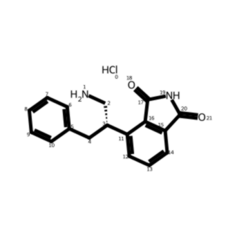 Cl.NC[C@@H](Cc1ccccc1)c1cccc2c1C(=O)NC2=O